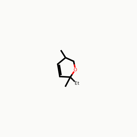 CCC1(C)C=CC(C)CO1